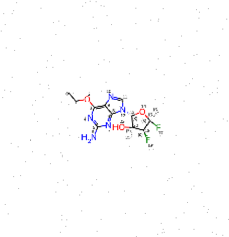 CCOc1nc(N)nc2c1ncn2[C@@H]1O[C@@](C)(F)[C@@H](F)[C@@]1(C)O